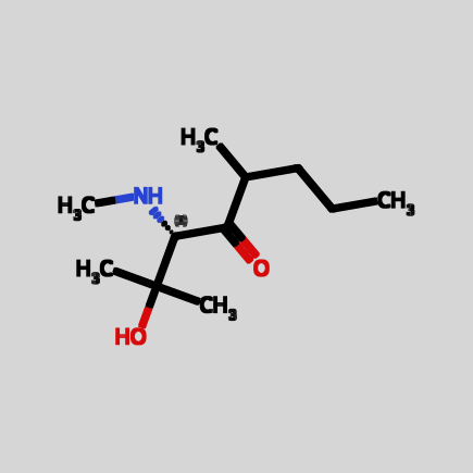 CCCC(C)C(=O)[C@@H](NC)C(C)(C)O